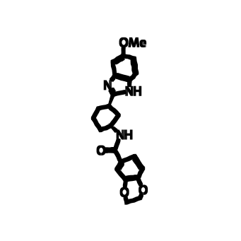 COc1ccc2[nH]c([C@@H]3CCC[C@H](NC(=O)c4ccc5c(c4)OCCO5)C3)nc2c1